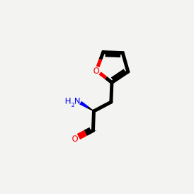 N[C@H]([C]=O)Cc1ccco1